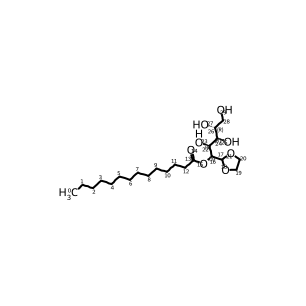 CCCCCCCCCCCCCC(=O)O[C@H](C1OCCO1)[C@@H](O)[C@H](O)[C@H](O)CO